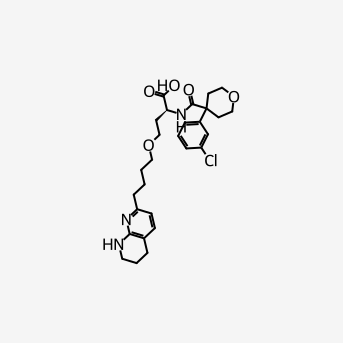 O=C(O)[C@H](CCOCCCCc1ccc2c(n1)NCCC2)NC(=O)C1(c2cccc(Cl)c2)CCOCC1